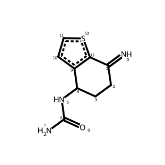 N=C1CCC(NC(N)=O)c2ccsc21